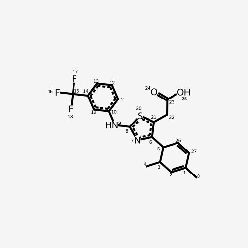 CC1=CC(C)C(c2nc(Nc3cccc(C(F)(F)F)c3)sc2CC(=O)O)C=C1